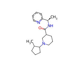 CC1CCCC1N1CCCC(C(=O)N[C@H](C)c2ccccn2)C1